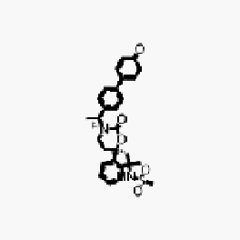 C[C@@H](c1ccc(C2=CCC(=O)C=C2)cc1)N1CC[C@](CC(C)(C)NS(C)(=O)=O)(c2ccccc2)OC1=O